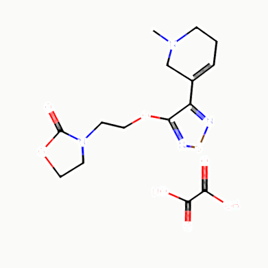 CN1CCC=C(c2nsnc2OCCN2CCOC2=O)C1.O=C(O)C(=O)O